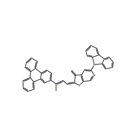 C=c1/c(=C\C=C(/C)c2ccc3c4ccccc4c4ccccc4c3c2)sc2cnc(-n3c4ccccc4c4ccccc43)cc12